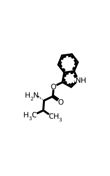 CC(C)[C@H](N)C(=O)Oc1c[nH]c2ccccc12